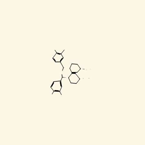 CCCCCCC[C@H]1CC[C@H](C(OC(c2ccc(F)c(F)c2)[C@H]2CC[C@H](CCCCCCC)CC2)c2ccc(F)c(F)c2)CC1